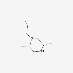 CCCN1C[C@H](C)NCC1C